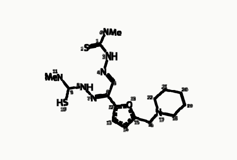 CNC(=S)N/N=C/C(=N\NC(S)NC)c1ccc(CN2CCCCC2)o1